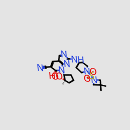 CC1(C)CN(S(=O)(=O)N2CCC(Nc3ncc4cc(C#N)c(=O)n([C@@H]5CCC[C@@]5(C)O)c4n3)CC2)C1